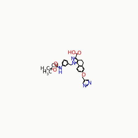 CC(C)(C)OC(=O)Nc1cccc(Cn2nc(C(=O)O)c3c2-c2ccc(OCc4cncnc4)cc2CC3)c1